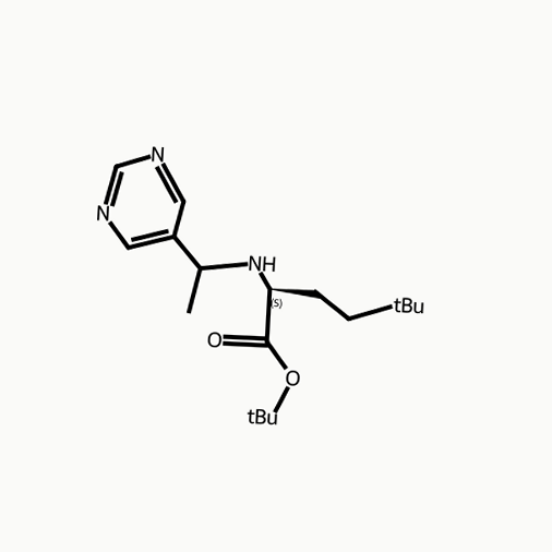 CC(N[C@@H](CCC(C)(C)C)C(=O)OC(C)(C)C)c1cncnc1